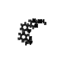 Nc1ncc(-c2cccc(-c3cccc(C(F)(F)F)c3)c2F)cn1